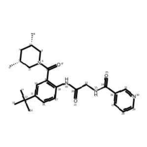 C[C@@H]1C[C@H](C)CN(C(=O)c2cc(C(C)(C)C)ccc2NC(=O)CNC(=O)c2cccnc2)C1